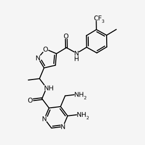 Cc1ccc(NC(=O)c2cc(C(C)NC(=O)c3ncnc(N)c3CN)no2)cc1C(F)(F)F